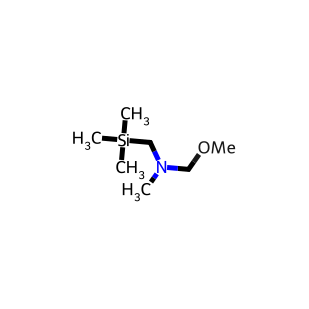 COCN(C)C[Si](C)(C)C